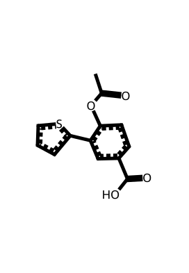 CC(=O)Oc1ccc(C(=O)O)cc1-c1cccs1